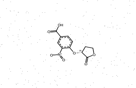 O=C(O)c1ccc(O[C@@H]2CCOC2=O)c([N+](=O)[O-])c1